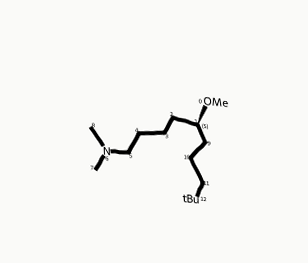 CO[C@H](CCCCN(C)C)CCCC(C)(C)C